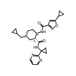 O=C(N[C@@H]1CCN(CC2CC2)C[C@H]1C(=O)NC1(c2ncccn2)CC1)c1cc(C2CC2)on1